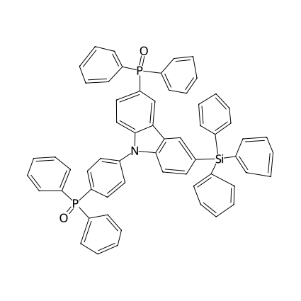 O=P(c1ccccc1)(c1ccccc1)c1ccc(-n2c3ccc([Si](c4ccccc4)(c4ccccc4)c4ccccc4)cc3c3cc(P(=O)(c4ccccc4)c4ccccc4)ccc32)cc1